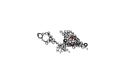 CC[C@H](C)[C@@H]([C@@H](CC(=O)N1CCC[C@H]1[C@H](OC)[C@@H](C)C(=O)N[C@H](C)[C@@H](O)c1ccccc1)OC)N(C)C(=O)[C@@H](NC(=O)[C@H](C(C)C)N(C)C(=O)OCc1ccc(NC(=O)[C@H](CCCNC(N)=O)NC(=O)[C@@H](NC(=O)CSCCC(=O)O[C@H]2C[C@@H]3C[C@H](C2)OC(=O)CCSC2CCCCCCC(C2)SCCC(=O)O3)C(C)C)cc1)C(C)C